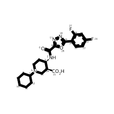 O=C(N[C@H]1CCN(C2CCCCC2)C[C@@H]1C(=O)O)c1nnc(-c2ccc(F)cc2F)o1